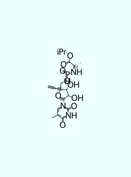 C#C[C@]1(CO[PH](=O)N[C@@H](C)C(=O)OC(C)C)O[C@@H](n2cc(C)c(=O)[nH]c2=O)C(O)C1O